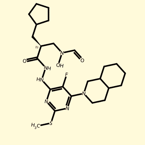 CSc1nc(NNC(=O)[C@@H](CC2CCCC2)CN(O)C=O)c(F)c(N2CCC3CCCCC3C2)n1